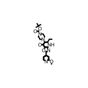 CCc1[nH]c2nc(-c3ccnc(OC)c3)oc2c(=O)c1N1CCN(C(=O)OC(C)(C)C)CC1